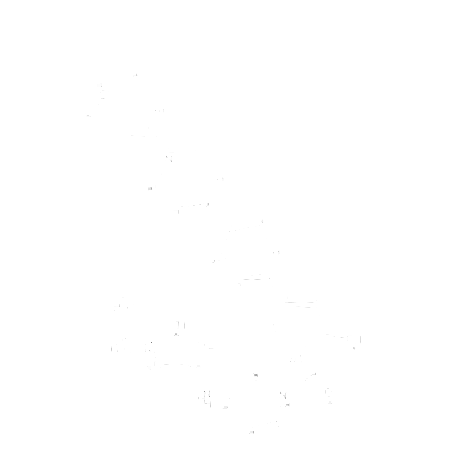 Cc1cc(-c2ccc(C3CCN(C4CCSCC4)CC3)cc2)sc1C(=O)N1CC[C@H](NC(=O)OC(C)(C)C)C1